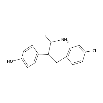 CC(N)C(Cc1ccc(Cl)cc1)c1ccc(O)cc1